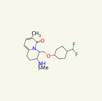 CSNC1CCc2ccc(C)c(=O)n2C1COC1CCC(C(F)F)CC1